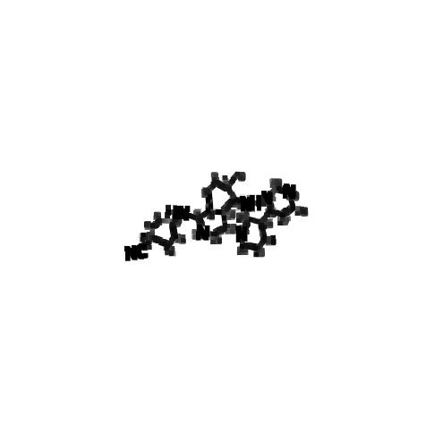 Cc1ccc2c(Nc3ccc(C#N)cc3)nccc2c1Nc1ncccc1-c1ccncn1